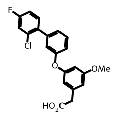 COc1cc(CC(=O)O)cc(Oc2cccc(-c3ccc(F)cc3Cl)c2)c1